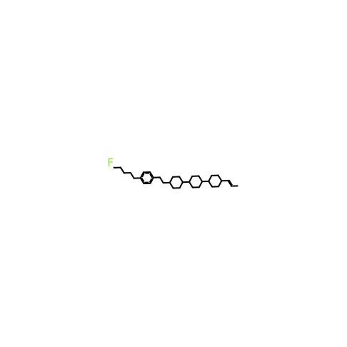 CC=CC1CCC(C2CCC(C3CCC(CCc4ccc(CCCCCF)cc4)CC3)CC2)CC1